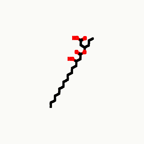 CCCCCCCCCCCCCC(O)CC(=O)OC(CCC)CC(=O)O